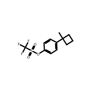 CC1(c2ccc(OS(=O)(=O)C(F)(F)F)cc2)CCC1